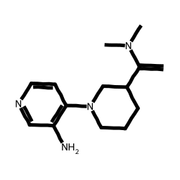 C=C(C1CCCN(c2ccncc2N)C1)N(C)C